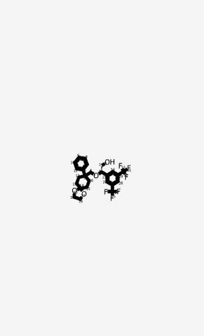 OC[C@@H](OCC1(c2ccccc2)CCC2(CC1)OCCO2)c1cc(C(F)(F)F)cc(C(F)(F)F)c1